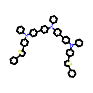 c1ccc(-c2ccc(-c3ccc(N(c4ccccc4)c4ccc(-c5ccc(N(c6ccccc6)c6ccc(-c7ccc(N(c8ccccc8)c8ccc(-c9ccc(-c%10ccccc%10)s9)cc8)cc7)cc6)cc5)cc4)cc3)s2)cc1